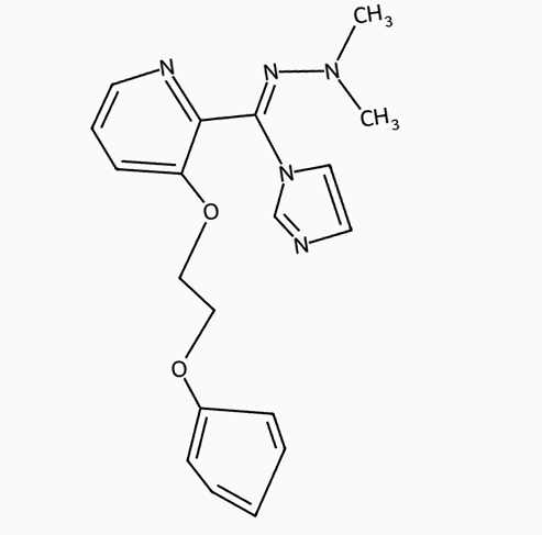 CN(C)N=C(c1ncccc1OCCOc1ccccc1)n1ccnc1